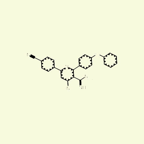 N#Cc1ccc(-c2cc(N)c(C(=N)N)c(-c3ccc(Oc4ccccc4)cc3)n2)cc1